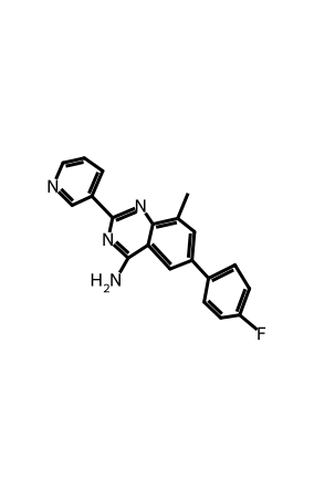 Cc1cc(-c2ccc(F)cc2)cc2c(N)nc(-c3cccnc3)nc12